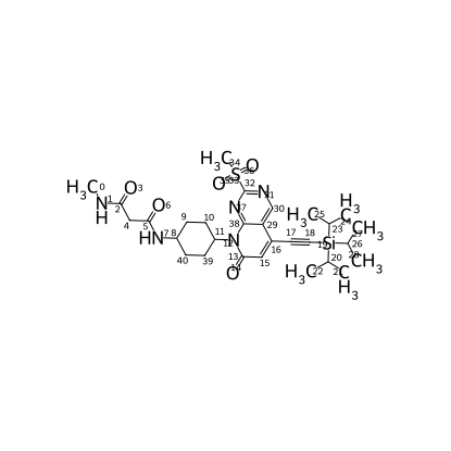 CNC(=O)CC(=O)NC1CCC(n2c(=O)cc(C#C[Si](C(C)C)(C(C)C)C(C)C)c3cnc(S(C)(=O)=O)nc32)CC1